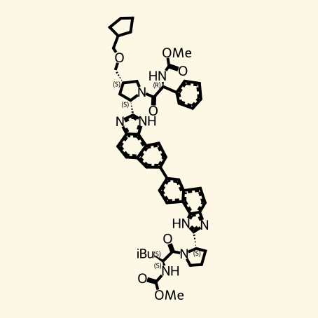 CC[C@H](C)[C@H](NC(=O)OC)C(=O)N1CCC[C@H]1c1nc2ccc3cc(-c4ccc5c(ccc6nc([C@@H]7C[C@H](COCC8CCCC8)CN7C(=O)[C@H](NC(=O)OC)c7ccccc7)[nH]c65)c4)ccc3c2[nH]1